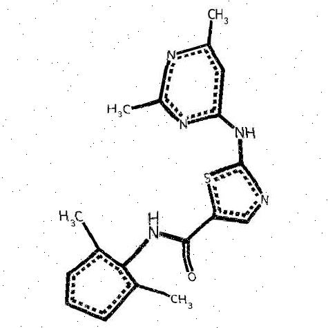 Cc1cc(Nc2ncc(C(=O)Nc3c(C)cccc3C)s2)nc(C)n1